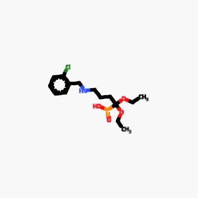 CCOC(CCCNCc1ccccc1Cl)(OCC)[PH](=O)O